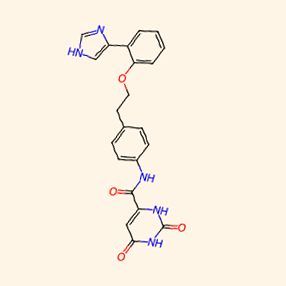 O=C(Nc1ccc(CCOc2ccccc2-c2c[nH]cn2)cc1)c1cc(=O)[nH]c(=O)[nH]1